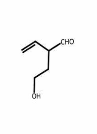 C=CC(C=O)CCO